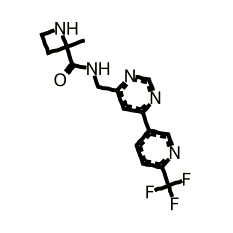 CC1(C(=O)NCc2cc(-c3ccc(C(F)(F)F)nc3)ncn2)CCN1